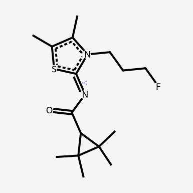 Cc1s/c(=N\C(=O)C2C(C)(C)C2(C)C)n(CCCF)c1C